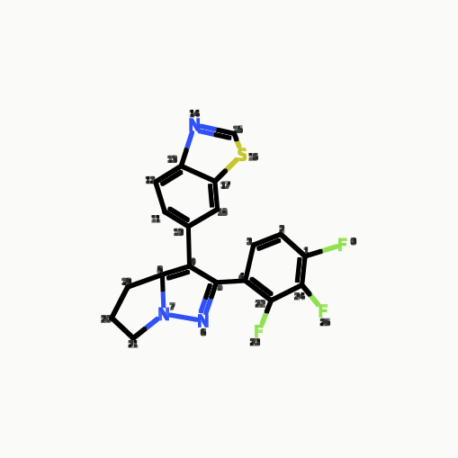 Fc1ccc(-c2nn3c(c2-c2ccc4ncsc4c2)CCC3)c(F)c1F